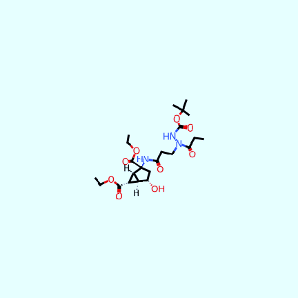 CCOC(=O)[C@H]1[C@H]2[C@@H]1[C@](NC(=O)CCN(NC(=O)OC(C)(C)C)C(=O)CC)(C(=O)OCC)C[C@@H]2O